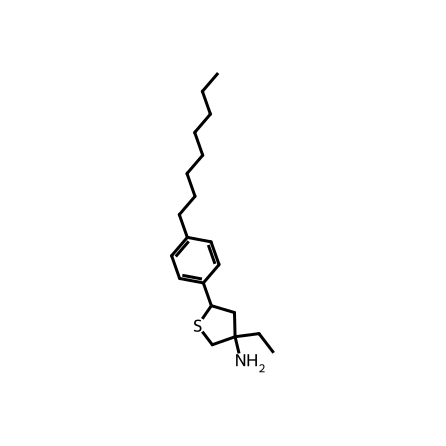 CCCCCCCCc1ccc(C2CC(N)(CC)CS2)cc1